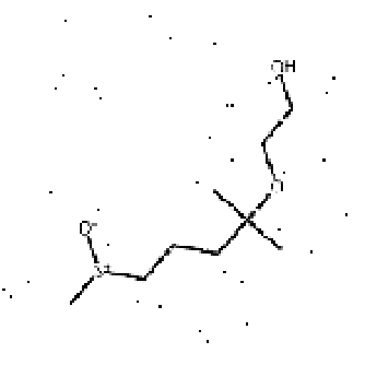 C[S+]([O-])CCCC(C)(C)OCCO